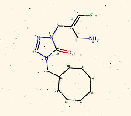 NC/C(=C\F)Cn1ncn(CC2CCCCCCC2)c1=O